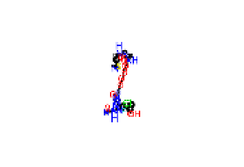 Cc1ncsc1-c1ccc([C@H](C)NC(=O)[C@@H]2CCCN2C(=O)[C@@H](NC(=O)COCCOCCOCCOCC/C=C/C(=O)N2CCN(c3nc(NCCC(=O)N(C)C)nc4c(F)c(-c5cc(O)cc6ccccc56)c(Cl)cc34)CC2)C(C)(C)C)cc1